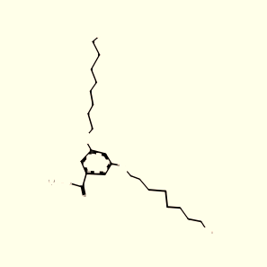 COC(=O)c1cc(OCCCCCCCCO)cc(OCCCCCCCCO)c1